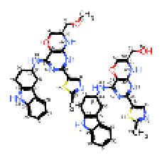 COC[C@@H]1COc2c(nc(-c3cnc(C)s3)nc2N[C@@H]2CCc3[nH]c4ccccc4c3C2)N1.Cc1ncc(-c2nc3c(c(N[C@@H]4CCc5[nH]c6ccccc6c5C4)n2)OC[C@@H](CO)N3)s1